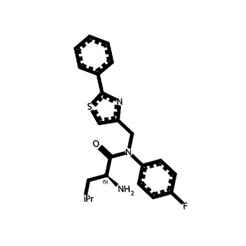 CC(C)C[C@H](N)C(=O)N(Cc1csc(-c2ccccc2)n1)c1ccc(F)cc1